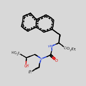 CCOC(=O)C(Cc1ccc2ccccc2c1)NC(=O)N(CC(C)C)CC(O)C(=O)O